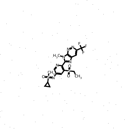 CCS(=O)(=O)c1cc(N=S(C)(=O)C2CC2)cnc1-c1nc2cc(C(F)(F)F)nnc2n1C